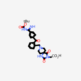 CC(C)(C)OC(=O)NC(=N)c1ccc(C(=O)c2ccccc2CN2CCC3(CC2)NC(=O)N(CC(=O)O)C3=O)cc1